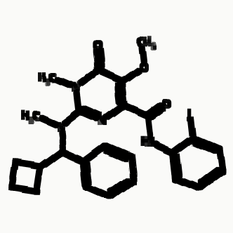 COc1c(C(=O)Nc2ccccc2I)nc(N(C)C(c2ccccc2)C2CCC2)n(C)c1=O